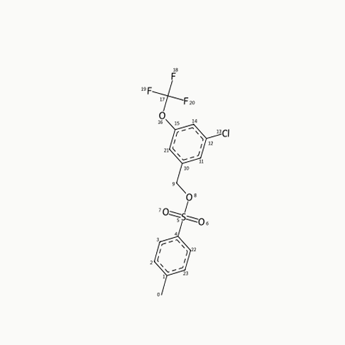 Cc1ccc(S(=O)(=O)OCc2cc(Cl)cc(OC(F)(F)F)c2)cc1